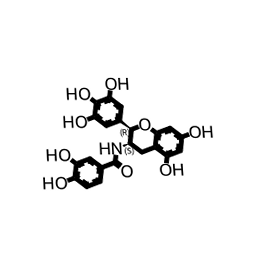 O=C(N[C@H]1Cc2c(O)cc(O)cc2O[C@@H]1c1cc(O)c(O)c(O)c1)c1ccc(O)c(O)c1